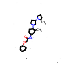 Cc1cc(NC(=O)COc2ccccc2)ccc1N1CCC(N2CCCC2C)C1